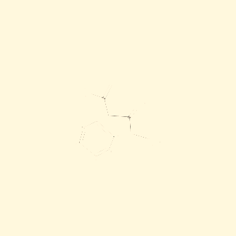 COC(=O)CC(C)=O.c1ccncc1